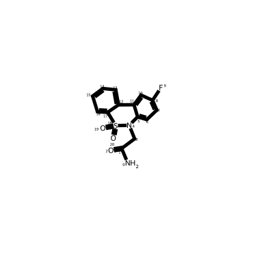 NC(=O)CN1c2ccc(F)cc2-c2ccccc2S1(=O)=O